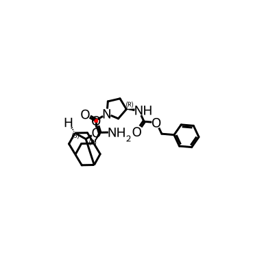 NC(=O)[C@]12CC3CC(C1)C(OC(=O)N1CC[C@@H](NC(=O)OCc4ccccc4)C1)[C@@H](C3)C2